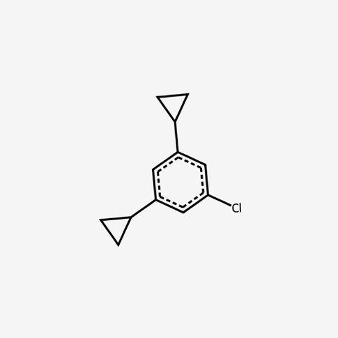 Clc1cc(C2CC2)cc(C2CC2)c1